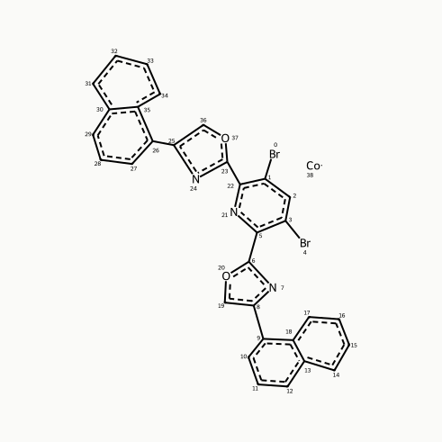 Brc1cc(Br)c(-c2nc(-c3cccc4ccccc34)co2)nc1-c1nc(-c2cccc3ccccc23)co1.[Co]